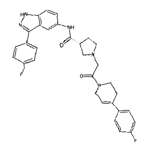 O=C(Nc1ccc2[nH]nc(-c3ccc(F)cc3)c2c1)[C@@H]1CCN(CC(=O)N2CC=C(c3ccc(F)cc3)CC2)C1